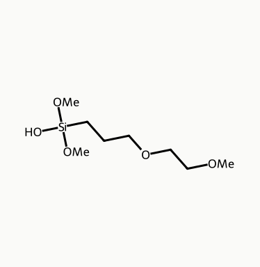 COCCOCCC[Si](O)(OC)OC